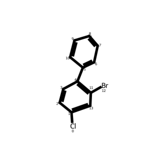 Clc1ccc(-c2cc[c]cc2)c(Br)c1